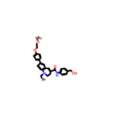 CCCCOCCOc1ccc(-c2ccc3c(c2)C=C(C(=O)Nc2ccc(CO)cc2)CCN3CC(C)C)cc1